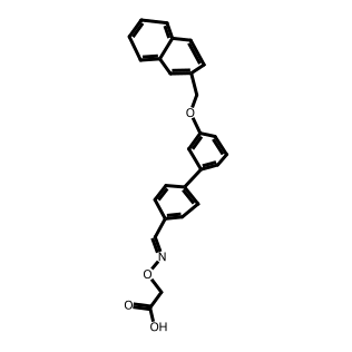 O=C(O)CO/N=C/c1ccc(-c2cccc(OCc3ccc4ccccc4c3)c2)cc1